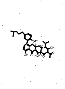 COc1ccc(CCCC(C)C)cc1-c1ccc(O)c2c1C[C@]1(C)C[C@]3(C)C(C(C)C)C(O)=C(C(C)=O)C(=O)[C@]3(O)C(O)=C1C2=O